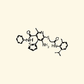 Cc1cccc(C(C)C)c1NC(=O)CSc1nc(C)c(C(=O)Nc2ccccc2)c(-c2cccs2)c1N